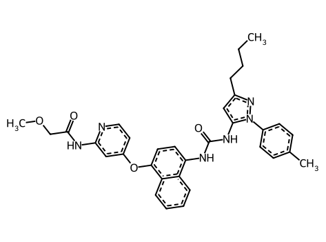 CCCCc1cc(NC(=O)Nc2ccc(Oc3ccnc(NC(=O)COC)c3)c3ccccc23)n(-c2ccc(C)cc2)n1